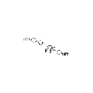 CCC[C@H]1CC[C@H](COc2ccc(CC[C@H]3CC[C@H]([C@H]4CC[C@H](CCC)CC4)CC3)c(F)c2F)CC1